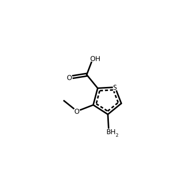 Bc1csc(C(=O)O)c1OC